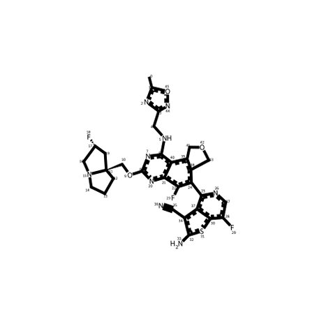 Cc1nc(CNc2nc(OC[C@@]34CCCN3C[C@H](F)C4)nc3c(F)c(-c4ncc(F)c5sc(N)c(C#N)c45)c4c(c23)COC4)no1